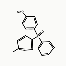 COc1ccc(P(=O)(c2ccccc2)c2ccc(C)cc2)cc1